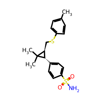 Cc1ccc(SC[C@H]2[C@H](c3ccc(S(N)(=O)=O)cc3)C2(C)C)cc1